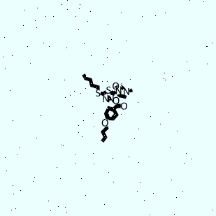 CCCCCSc1nnc([N+]2([O-])CN(C)CC2OC(=O)c2ccc(OCCCC)cc2)s1